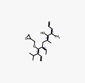 C=C/C=C(P)\C(O)=C(/C)CC(=C/C)/C(OCC1CO1)=C(\C=C)C(C)C